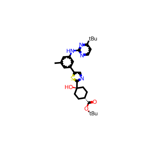 Cc1cc(Nc2nccc(C(C)(C)C)n2)cc(-c2cnc([C@]3(O)CC[C@H](C(=O)OC(C)(C)C)CC3)s2)c1